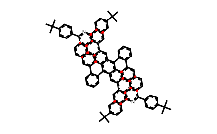 CC(C)(C)c1ccc(-c2nc(-c3ccc(-c4ccccc4-c4c5cc6c7ccccc7c7ccccc7c6cc5c(-c5ccccc5-c5ccc(-c6nc(-c7ccc(C(C)(C)C)cc7)nc(-c7ccc(C(C)(C)C)cc7)n6)cc5)c5cc6c7ccccc7c7ccccc7c6cc45)cc3)nc(-c3ccc(C(C)(C)C)cc3)n2)cc1